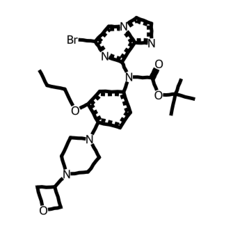 CCCOc1cc(N(C(=O)OC(C)(C)C)c2nc(Br)cn3ccnc23)ccc1N1CCN(C2COC2)CC1